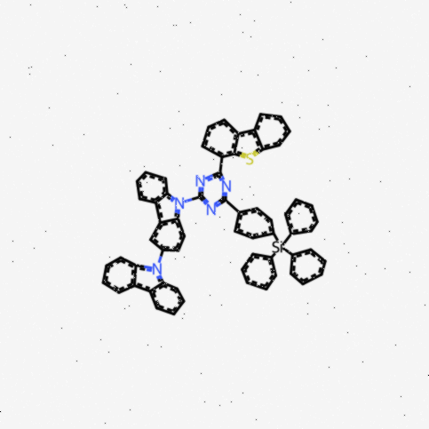 c1ccc([Si](c2ccccc2)(c2ccccc2)c2ccc(-c3nc(-c4cccc5c4sc4ccccc45)nc(-n4c5ccccc5c5cc(-n6c7ccccc7c7ccccc76)ccc54)n3)cc2)cc1